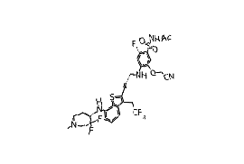 CC(=O)NS(=O)(=O)c1cc(OCC#N)c(NCC#Cc2sc3c(NC4CCN(C)CC4(F)F)cccc3c2CC(F)(F)F)cc1F